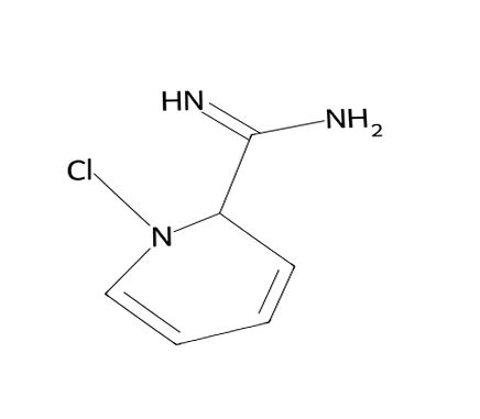 N=C(N)C1C=CC=CN1Cl